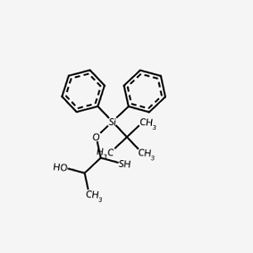 CC(O)C(S)O[Si](c1ccccc1)(c1ccccc1)C(C)(C)C